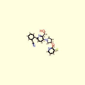 N#Cc1ccccc1-c1ccc(N2CCC(Oc3ncccc3F)C2)c(CO)n1